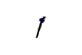 CCCCCCCCCCCCCCCCCCC[n+]1ccn(CCCC)c1C(C)C